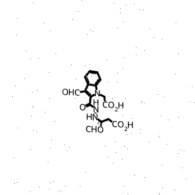 O=Cc1c(C(=O)NN[C@H](C=O)CC(=O)O)n(CC(=O)O)c2ccccc12